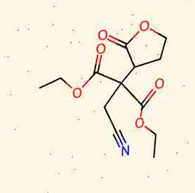 CCOC(=O)C(CC#N)(C(=O)OCC)C1CCOC1=O